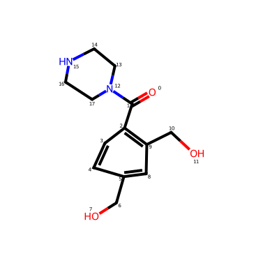 O=C(c1ccc(CO)cc1CO)N1CCNCC1